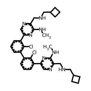 CNc1nc(-c2cccc(-c3cccc(-c4cnc(CNCC5CCC5)c(NC)n4)c3Cl)c2Cl)cnc1CNCC1CCC1